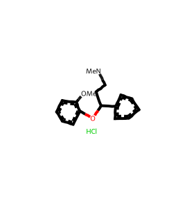 CNCCC(Oc1ccccc1OC)c1ccccc1.Cl